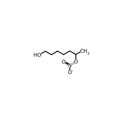 CC(CCCCCO)O[N+](=O)[O-]